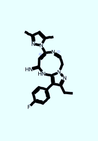 CCc1nn2c(c1-c1ccc(F)cc1)NC(=N)/C=C(n1nc(C)cc1C)\N=C/C2